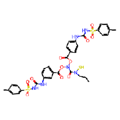 CCCN(S)C(=O)N(OC(=O)c1ccc(NC(=O)NS(=O)(=O)c2ccc(C)cc2)cc1)OC(=O)c1cccc(NC(=O)NS(=O)(=O)c2ccc(C)cc2)c1